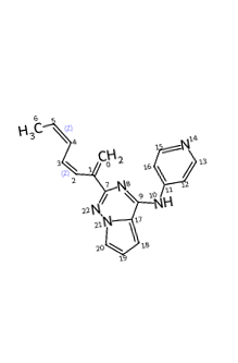 C=C(/C=C\C=C/C)c1nc(Nc2ccncc2)c2cccn2n1